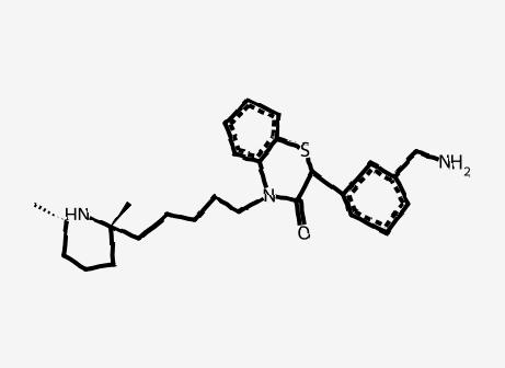 C[C@H]1CCC[C@@](C)(CCCCCN2C(=O)C(c3cccc(CN)c3)Sc3ccccc32)N1